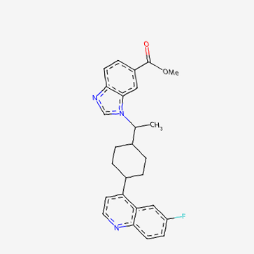 COC(=O)c1ccc2ncn(C(C)C3CCC(c4ccnc5ccc(F)cc45)CC3)c2c1